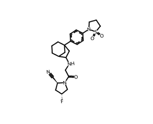 N#C[C@@H]1C[C@@H](F)CN1C(=O)CNC1CC2(c3ccc(N4CCCS4(=O)=O)cc3)CCCC1C2